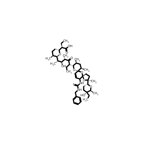 CCC(C(=O)[C@@H](C)[C@@H](O)[C@H](C)[C@@H]1O[C@@H]([C@@H](CC)C(=O)O)CC[C@@H]1C)[C@H]1O[C@]2(C=CC(NC(=S)NCc3ccccc3)[C@]3(CC[C@@](C)([C@H]4CC[C@](O)(CC)[C@H](C)O4)O3)O2)[C@H](C)C[C@@H]1C